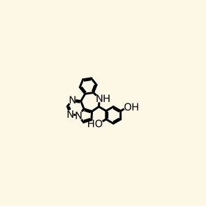 Oc1ccc(O)c(C2Nc3ccccc3-c3ncnn4ccc2c34)c1